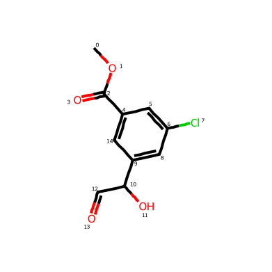 COC(=O)c1cc(Cl)cc(C(O)C=O)c1